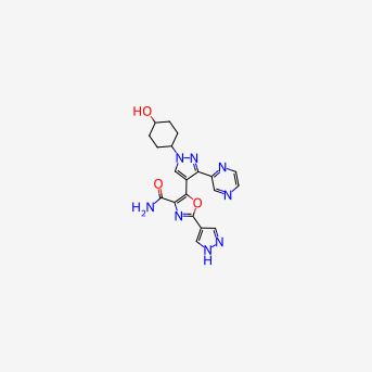 NC(=O)c1nc(-c2cn[nH]c2)oc1-c1cn(C2CCC(O)CC2)nc1-c1cnccn1